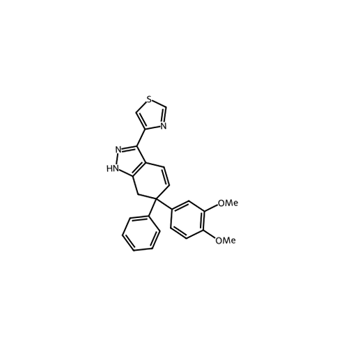 COc1ccc(C2(c3ccccc3)C=Cc3c(-c4cscn4)n[nH]c3C2)cc1OC